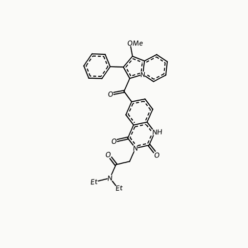 CCN(CC)C(=O)Cn1c(=O)[nH]c2ccc(C(=O)c3c(-c4ccccc4)c(OC)c4ccccn34)cc2c1=O